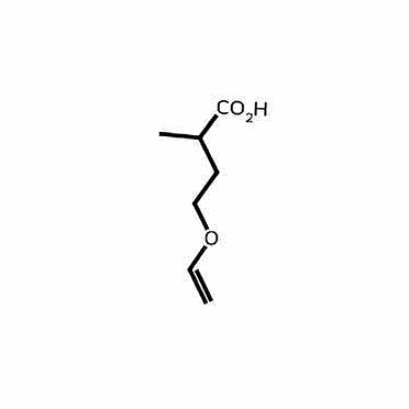 C=COCCC(C)C(=O)O